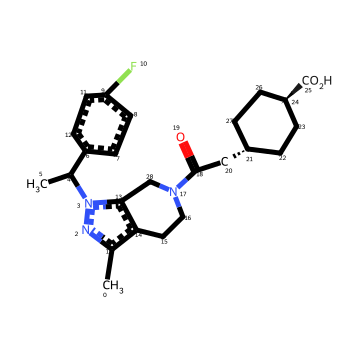 Cc1nn(C(C)c2ccc(F)cc2)c2c1CCN(C(=O)C[C@H]1CC[C@H](C(=O)O)CC1)C2